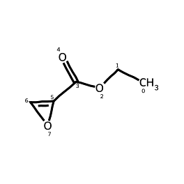 CCOC(=O)C1=CO1